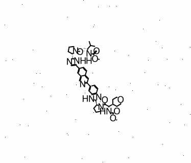 COC(=O)N[C@H](C(=O)N1CCC[C@H]1c1nc2ccc(-c3cc4ccc(-c5cnc([C@@H]6CCCN6OC[C@@H](NC(=O)OC)C(C)C)[nH]5)cc4cn3)cc2[nH]1)C1CCOCC1